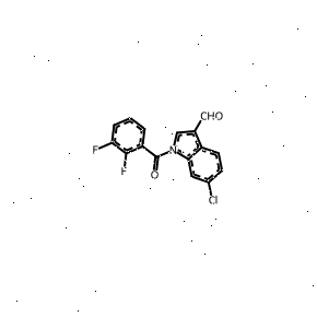 O=Cc1cn(C(=O)c2cccc(F)c2F)c2cc(Cl)ccc12